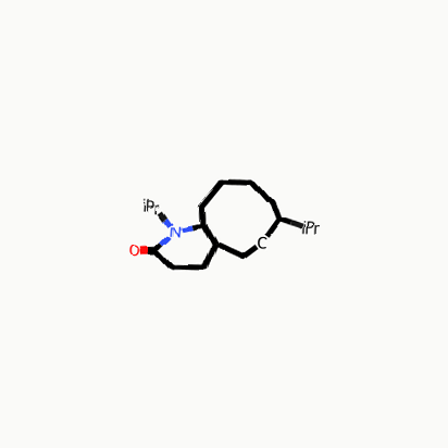 CC(C)C1CCCCC2C(CCC(=O)N2C(C)C)CC1